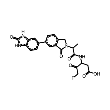 CC(C(=O)NC(CC(=O)O)C(=O)CF)N1Cc2ccc(-c3ccc4[nH]c(=O)[nH]c4c3)cc2C1=O